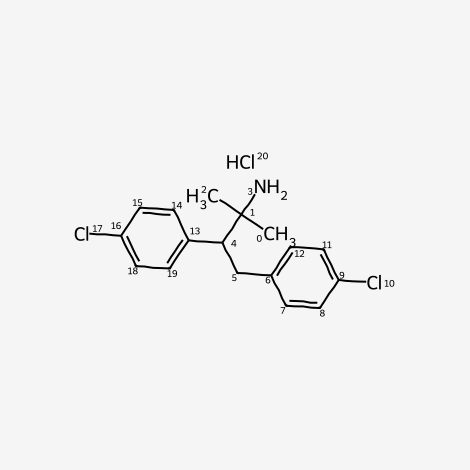 CC(C)(N)C(Cc1ccc(Cl)cc1)c1ccc(Cl)cc1.Cl